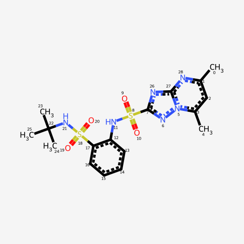 Cc1cc(C)n2nc(S(=O)(=O)Nc3ccccc3S(=O)(=O)NC(C)(C)C)nc2n1